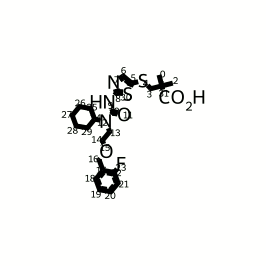 CC(C)(CSc1cnc(NC(=O)N(CCOCc2ccccc2F)C2CCCCC2)s1)C(=O)O